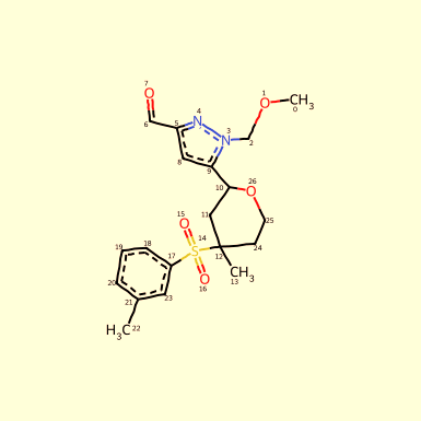 COCn1nc(C=O)cc1C1CC(C)(S(=O)(=O)c2cccc(C)c2)CCO1